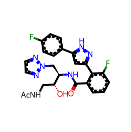 CC(=O)NC[C@@H](O)[C@@H](Cn1nccn1)NC(=O)c1cccc(F)c1-c1cc(-c2ccc(F)cc2)[nH]n1